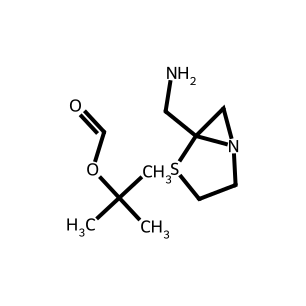 CC(C)(C)OC=O.NCC12CN1CCS2